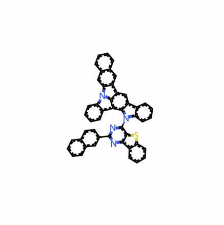 c1ccc2cc(-c3nc(-n4c5ccccc5c5cc6c7cc8ccccc8cc7n7c8ccccc8c(c54)c67)c4sc5ccccc5c4n3)ccc2c1